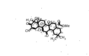 [C-]#[N+]C1=C[C@]2(C)C3=CC(=O)C4C5CC(C)(C)CC[C@]5(C(=O)OC)CC[C@@]4(C)[C@]3(C)CC[C@H]2C(C)(C)C1=O